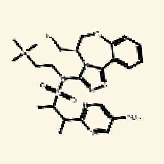 COc1cnc(C(C)C(C)S(=O)(=O)N(CC[Si](C)(C)C)c2nnc3n2[C@@H](CO)COc2ccccc2-3)nc1